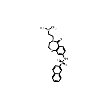 CN(C)CCN1CCOc2cc(NS(=O)(=O)c3ccc4ccccc4c3)ccc2C1=O